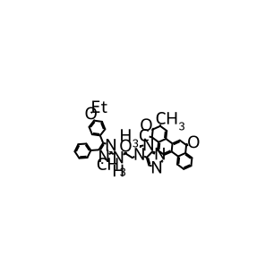 CCOc1ccc(-c2nc(NC(=O)CN3CN(C4(C)C(=O)C(C)C=c5c4ccc4c5=CC(=O)c5ccccc5-4)c4ncncc43)n(C)c2-c2ccccc2)cc1